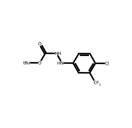 CC(C)(C)OC(=O)NNc1ccc(Cl)c(C(F)(F)F)c1